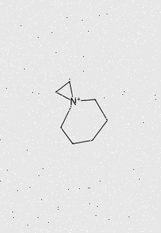 [CH]1C[N+]12CCCCC2